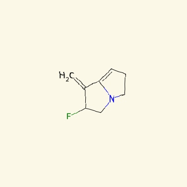 C=C1C2=CCCN2CC1F